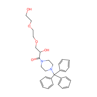 O=C(C(O)COCCOCCO)N1CCN(C(c2ccccc2)(c2ccccc2)c2ccccc2)CC1